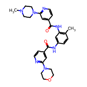 Cc1ccc(NC(=O)c2ccnc(N3CCOCC3)c2)cc1NC(=O)c1ccnc(N2CCN(C)CC2)c1